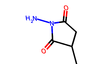 CC1CC(=O)N(N)C1=O